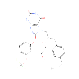 CCc1ccc(CC(Cn2c(Oc3cccc(OC(F)(F)F)c3)nc3c2c(=O)[nH]c(=O)n3C)OCCO)cc1